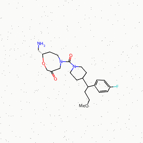 COCCC(c1ccc(F)cc1)C1CCN(C(=O)N2CC[C@@H](CN)OCC(=O)C2)CC1